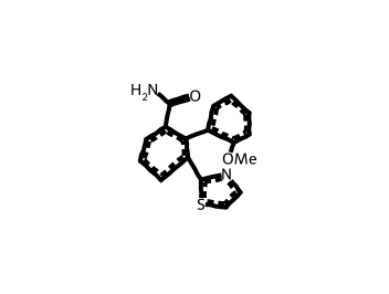 COc1ccccc1-c1c(C(N)=O)cccc1-c1nccs1